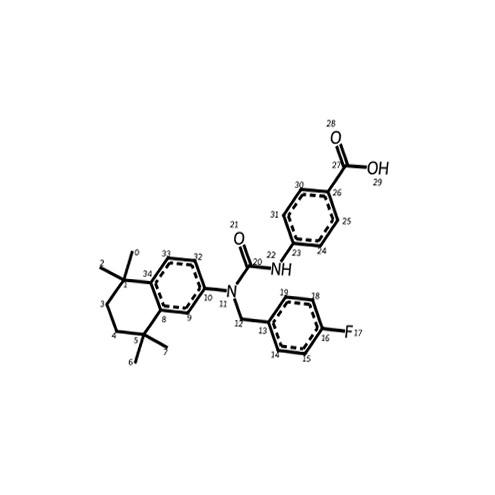 CC1(C)CCC(C)(C)c2cc(N(Cc3ccc(F)cc3)C(=O)Nc3ccc(C(=O)O)cc3)ccc21